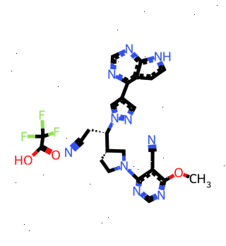 COc1ncnc(N2CC[C@H]([C@H](CC#N)n3cc(-c4ncnc5[nH]ccc45)cn3)C2)c1C#N.O=C(O)C(F)(F)F